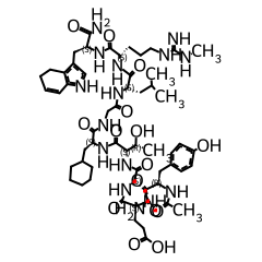 CNC(=N)NCCC[C@H](NC(=O)[C@H](CC(C)C)NC(=O)CNC(=O)[C@H](CC1CCCCC1)NC(=O)[C@@H](NC(=O)[C@H](CC(N)=O)NC(=O)[C@H](CCC(=O)O)NC(=O)[C@@H](Cc1ccc(O)cc1)NC(C)=O)[C@@H](C)O)C(=O)N[C@@H](Cc1c[nH]c2c1CCC=C2)C(N)=O